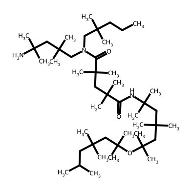 CCCC(C)(C)CN(CC(C)(C)CC(C)(C)N)C(=O)C(C)(C)CC(C)(C)C(=O)NC(C)(C)CC(C)(C)CC(C)(C)OC(C)(C)CC(C)(C)CC(C)C